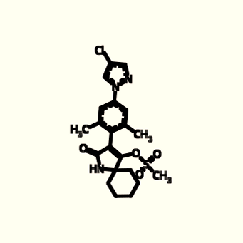 Cc1cc(-n2cc(Cl)cn2)cc(C)c1C1=C(OS(C)(=O)=O)C2(CCCCC2)NC1=O